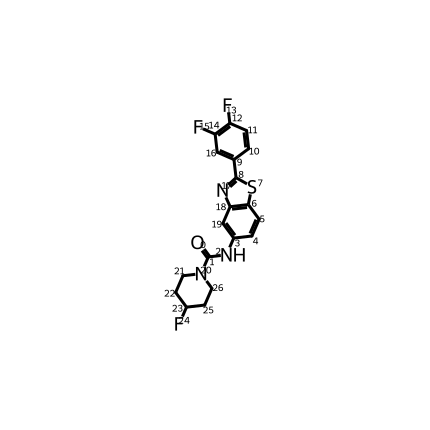 O=C(Nc1ccc2sc(-c3ccc(F)c(F)c3)nc2c1)N1CCC(F)CC1